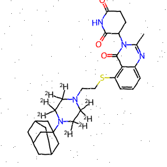 [2H]C1([2H])N(CCSc2cccc3nc(C)n(C4CCC(=O)NC4=O)c(=O)c23)C([2H])([2H])C([2H])([2H])N(C23CC4CC(CC(C4)C2)C3)C1([2H])[2H]